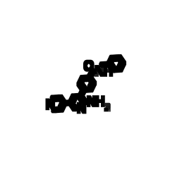 Nc1ncc(-c2ccncc2)cc1-c1ccc(C(=O)NCc2ccccc2)cc1